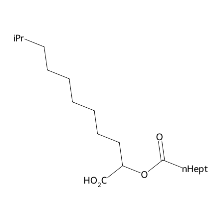 CCCCCCCC(=O)OC(CCCCCCCC(C)C)C(=O)O